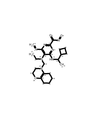 C=Nc1nc(C(=O)N=O)nc(NC(C)C2CCC2)c1N(CC)CN1CCOC2=C1CCCC2